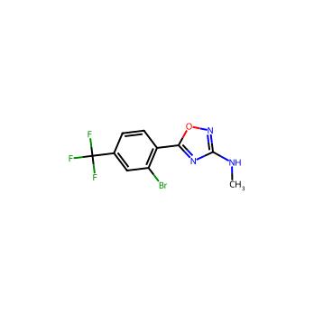 CNc1noc(-c2ccc(C(F)(F)F)cc2Br)n1